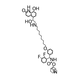 O=C(NC(c1cccc(OCCCCCCCCCNCC(O)c2ccc(O)c3[nH]c(=O)ccc23)c1)c1cccc(F)c1F)OC1CN2CCC1CC2